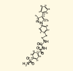 Cc1nn(-c2ccc(CCNC(=O)NS(=O)(=O)c3ccc(S(N)(=O)=O)cc3)cc2)c(C)c1-c1ccccc1